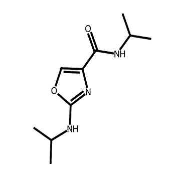 CC(C)NC(=O)c1coc(NC(C)C)n1